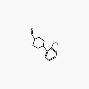 Cc1ccccc1C1CCC(C=O)CC1